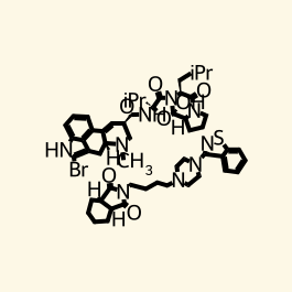 CC(C)C[C@H]1C(=O)N2CCC[C@H]2[C@]2(O)O[C@](NC(=O)[C@@H]3C=C4c5cccc6[nH]c(Br)c(c56)C[C@H]4N(C)C3)(C(C)C)C(=O)N12.O=C1[C@H]2CCCC[C@H]2C(=O)N1CCCCN1CCN(c2nsc3ccccc23)CC1